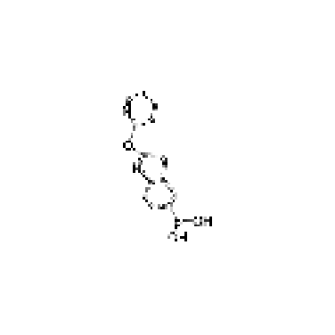 OB(O)c1ccc2nc(Oc3ccccn3)ccc2c1